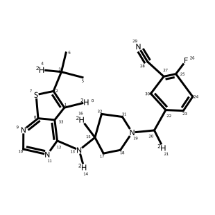 [2H]c1c(C([2H])(C)C)sc2ncnc(N([2H])C3([2H])CCN(C([2H])c4ccc(F)c(C#N)c4)CC3)c12